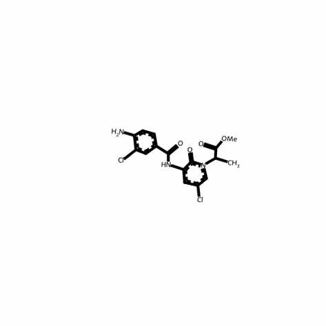 COC(=O)C(C)n1cc(Cl)cc(NC(=O)c2ccc(N)c(Cl)c2)c1=O